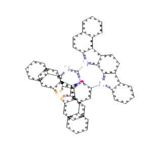 c1ccc(-c2cc(-n3c4ccccc4c4ccc5c6c7ccccc7ccc6n(-c6nc(-c7ccccc7)c7sc8ccccc8c7n6)c5c43)cc3c2oc2ccccc23)cc1